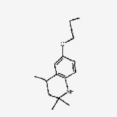 CCCOc1ccc2c(c1)C(C)CC(C)(C)N2